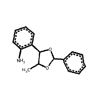 CC1OC(c2ccccc2)OC1c1ccccc1N